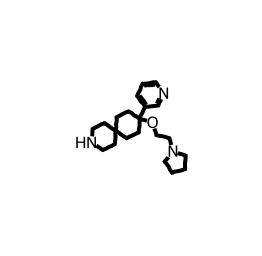 c1cncc(C2(OCCN3CCCC3)CCC3(CCNCC3)CC2)c1